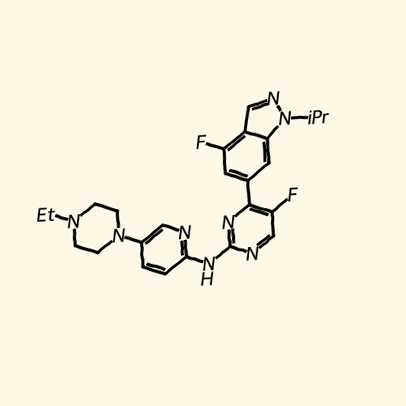 CCN1CCN(c2ccc(Nc3ncc(F)c(-c4cc(F)c5cnn(C(C)C)c5c4)n3)nc2)CC1